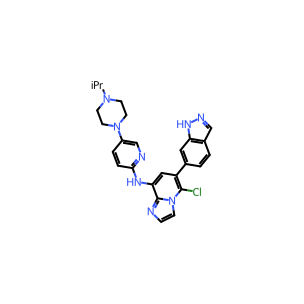 CC(C)N1CCN(c2ccc(Nc3cc(-c4ccc5cn[nH]c5c4)c(Cl)n4ccnc34)nc2)CC1